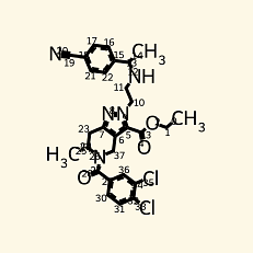 CCOC(=O)c1c2c(nn1CCNC(C)c1ccc(C#N)cc1)C[C@@H](C)N(C(=O)c1ccc(Cl)c(Cl)c1)C2